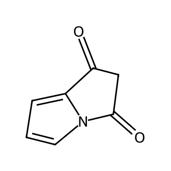 O=C1CC(=O)n2cccc21